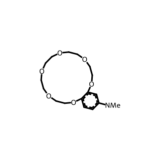 CNc1ccc2c(c1)OCCOCCOCCOCCOCCO2